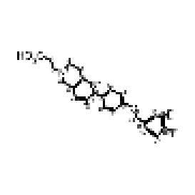 O=C(O)CCN1CCc2nc(-c3ccc(OCc4ccc(F)c(F)c4)cc3)c(F)cc2C1